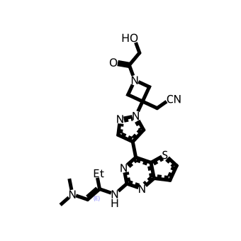 CC/C(=C\N(C)C)Nc1nc(-c2cnn(C3(CC#N)CN(C(=O)CO)C3)c2)c2sccc2n1